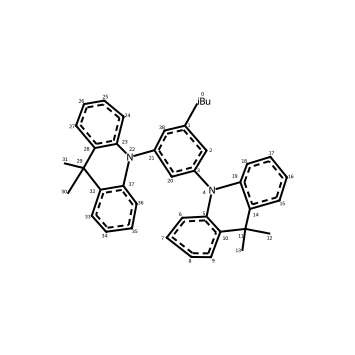 CCC(C)c1cc(N2c3ccccc3C(C)(C)c3ccccc32)cc(N2c3ccccc3C(C)(C)c3ccccc32)c1